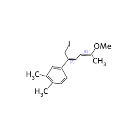 CO/C(C)=C/C=C(\CI)c1ccc(C)c(C)c1